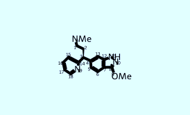 CNCC[C@@H](c1ccc2c(OC)n[nH]c2c1)c1ccccn1